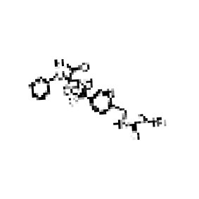 CCC(=O)C(NC(=O)c1ccc(CNC(=O)OC(C)(C)C)nc1)(Oc1ccccc1)C(=O)O